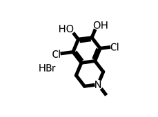 Br.CN1CCc2c(Cl)c(O)c(O)c(Cl)c2C1